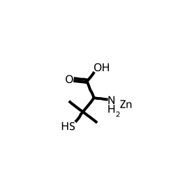 CC(C)(S)C(N)C(=O)O.[Zn]